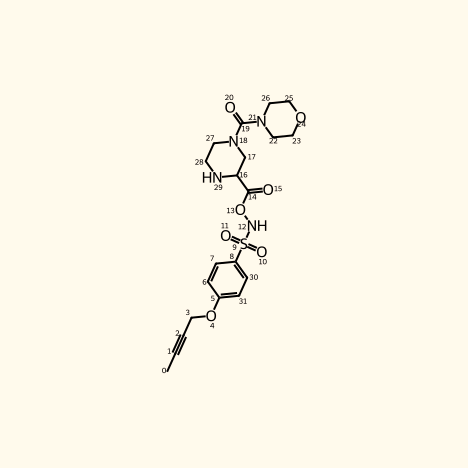 CC#CCOc1ccc(S(=O)(=O)NOC(=O)C2CN(C(=O)N3CCOCC3)CCN2)cc1